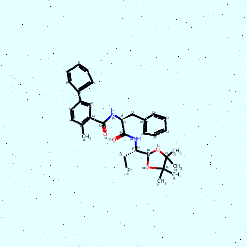 Cc1ccc(-c2ccccc2)cc1C(=O)N[C@@H](Cc1ccccc1)C(=O)N[C@@H](CC(C)C)B1OC(C)(C)C(C)(C)O1